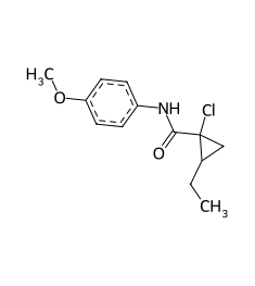 CCC1CC1(Cl)C(=O)Nc1ccc(OC)cc1